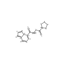 O=C(NCC(=O)N1CCCC1)C1=CC=NC2=NC=CC12